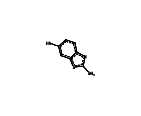 Bc1nc2ccc(S)cc2s1